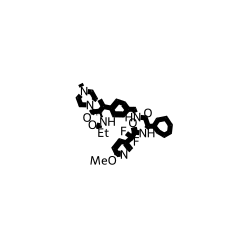 CCC(=O)N[C@@H](C(=O)N1CCN(C)CC1)C(C)c1ccc(CNC(=O)C(NC(=O)C(F)(F)c2ccc(OC)nc2)C2CCCCCC2)cc1